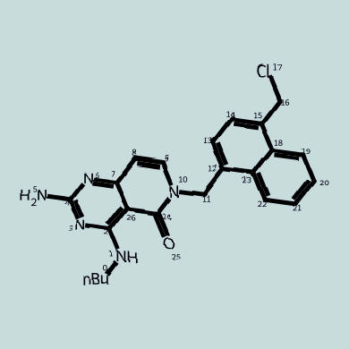 CCCCNc1nc(N)nc2ccn(Cc3ccc(CCl)c4ccccc34)c(=O)c12